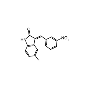 O=C1Nc2ccc(I)cc2C1=Cc1cccc([N+](=O)[O-])c1